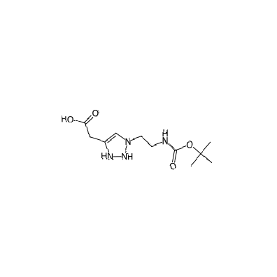 CC(C)(C)OC(=O)NCCN1C=C(CC(=O)O)NN1